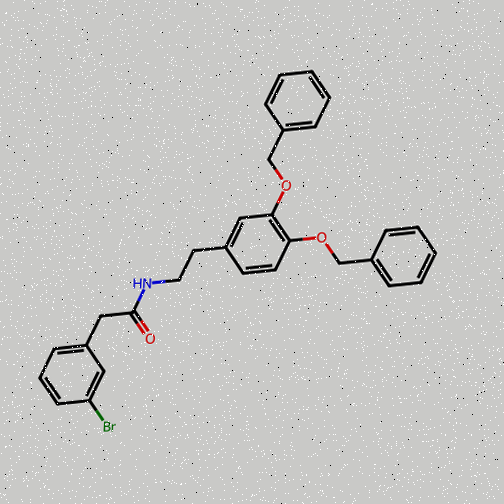 O=C(Cc1cccc(Br)c1)NCCc1ccc(OCc2ccccc2)c(OCc2ccccc2)c1